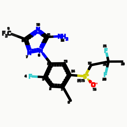 Cc1cc(F)c(-n2nc(C(F)(F)F)nc2N)cc1[S@@+]([O-])CC(C)(F)F